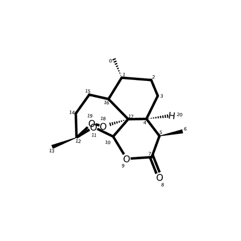 C[C@@H]1CC[C@H]2[C@@H](C)C(=O)OC3O[C@@]4(C)CCC1[C@]32OO4